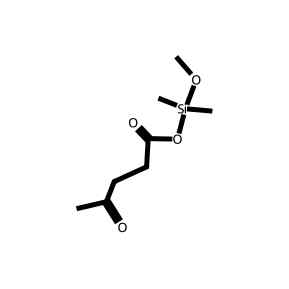 CO[Si](C)(C)OC(=O)CCC(C)=O